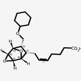 O=C(O)CCC/C=C\C[C@H]1[C@@H](COC2CCCCC2)[C@@H]2O[C@H]1[C@@H]1O[C@@H]12